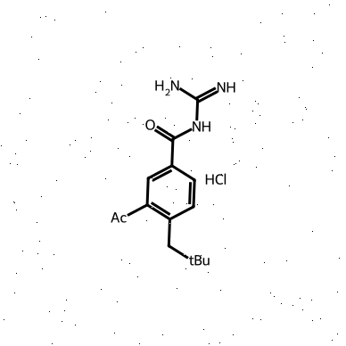 CC(=O)c1cc(C(=O)NC(=N)N)ccc1CC(C)(C)C.Cl